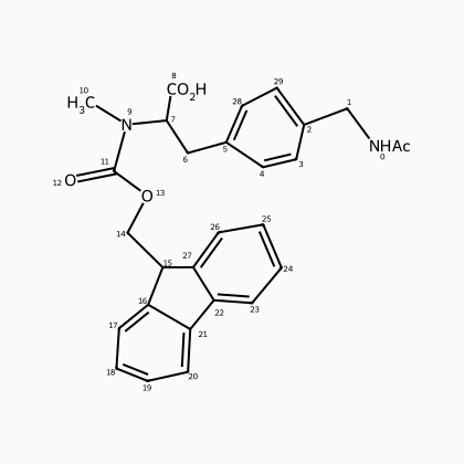 CC(=O)NCc1ccc(CC(C(=O)O)N(C)C(=O)OCC2c3ccccc3-c3ccccc32)cc1